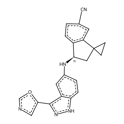 N#Cc1ccc2c(c1)C1(CC1)C[C@H]2Nc1ccc2[nH]nc(-c3cnco3)c2c1